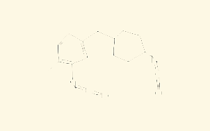 Cc1ccc(CC2CCC(N=C=O)CC2)cc1N=C=O